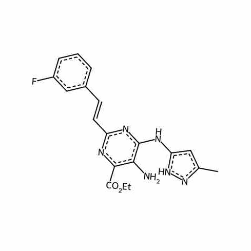 CCOC(=O)c1nc(C=Cc2cccc(F)c2)nc(Nc2cc(C)n[nH]2)c1N